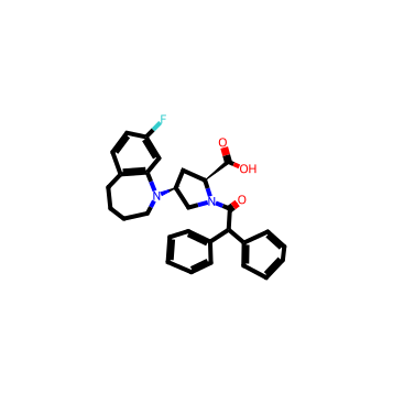 O=C(O)[C@@H]1C[C@H](N2CCCCc3ccc(F)cc32)CN1C(=O)C(c1ccccc1)c1ccccc1